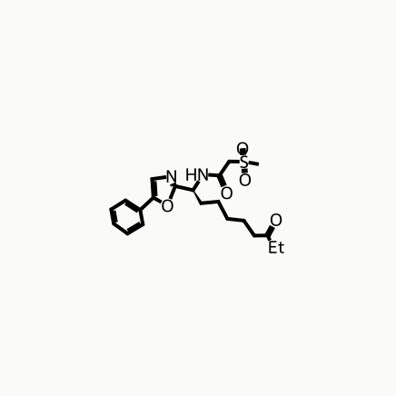 CCC(=O)CCCCC[C@H](NC(=O)CS(C)(=O)=O)c1ncc(-c2ccccc2)o1